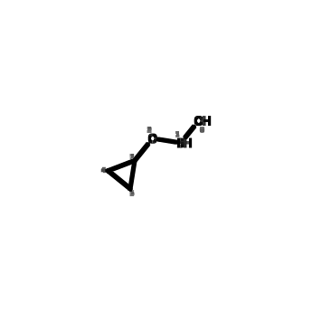 OBOC1CC1